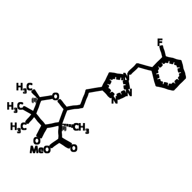 COC(=O)[C@@]1(C)C(=O)C(C)(C)[C@@H](C)OC1CCc1cn(Cc2ccccc2F)nn1